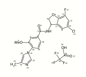 COc1cc(C(=O)NC2COc3c(F)cc(Cl)cc32)ccc1-n1cnc(C)c1.O=C(O)C(F)(F)F